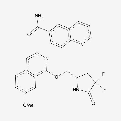 COc1ccc2ccnc(OC[C@@H]3CC(F)(F)C(=O)N3)c2c1.NC(=O)c1ccc2ncccc2c1